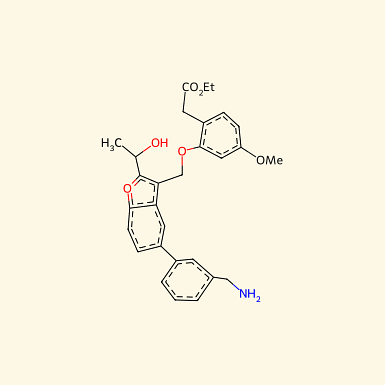 CCOC(=O)Cc1ccc(OC)cc1OCc1c(C(C)O)oc2ccc(-c3cccc(CN)c3)cc12